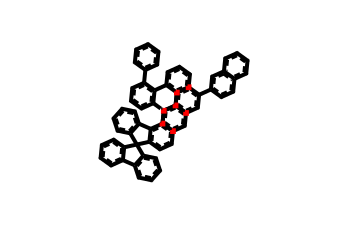 c1ccc(-c2ccccc2-c2c(-c3ccccc3)cccc2N(c2ccc(-c3ccc4ccccc4c3)cc2)c2cccc3c2-c2ccccc2C32c3ccccc3-c3ccccc32)cc1